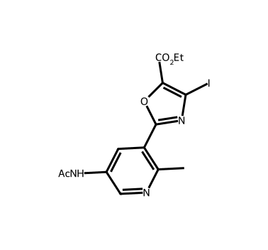 CCOC(=O)c1oc(-c2cc(NC(C)=O)cnc2C)nc1I